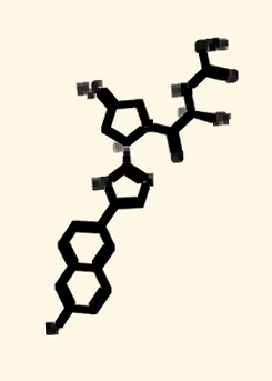 C=C1C[C@@H](c2ncc(-c3ccc4cc(Br)ccc4c3)[nH]2)N(C(=O)[C@@H](NC(=O)OC)C(C)C)C1